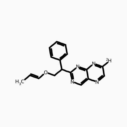 [2H]c1cnc2cnc(C(COC=CC)c3ccccc3)nc2n1